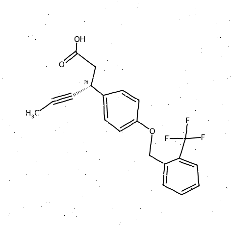 CC#C[C@H](CC(=O)O)c1ccc(OCc2ccccc2C(F)(F)F)cc1